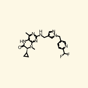 Cc1nc(NCc2cnn(Cc3ccc(C(F)F)nc3)c2)nc2c1NC(=O)[C@H](C1CC1)N2C